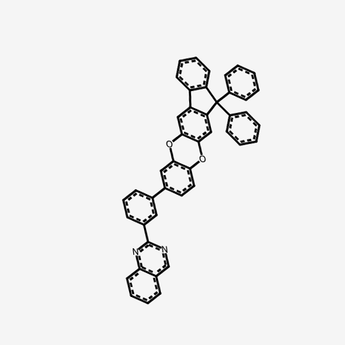 c1ccc(C2(c3ccccc3)c3ccccc3-c3cc4c(cc32)Oc2ccc(-c3cccc(-c5ncc6ccccc6n5)c3)cc2O4)cc1